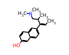 CC=C(c1ccc2cc(O)ccc2c1)C(C)CN(C)C